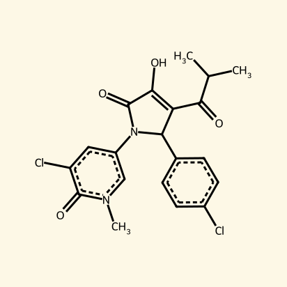 CC(C)C(=O)C1=C(O)C(=O)N(c2cc(Cl)c(=O)n(C)c2)C1c1ccc(Cl)cc1